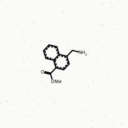 COC(=O)c1ccc(CN)c2ccccc12